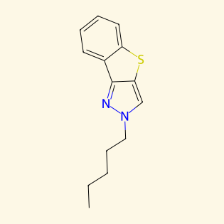 CCCCCn1cc2sc3ccccc3c2n1